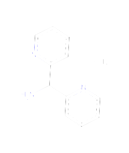 C.NC(c1ccccn1)c1ccccn1